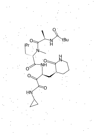 CC(C)C[C@@H](C(=O)N[C@@H](C[C@@H]1CCCNC1=O)C(=O)C(=O)NC1CC1)N(C)C(=O)[C@@H](C)NC(=O)C(C)(C)C